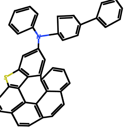 c1ccc(-c2ccc(N(c3ccccc3)c3cc4c5c(c3)sc3ccc6ccc7ccc8cccc-4c8c7c6c35)cc2)cc1